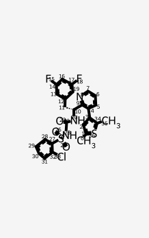 Cc1cc(-c2cccnc2[C@@H](Cc2cc(F)cc(F)c2)NC(=O)NS(=O)(=O)c2ccccc2Cl)c(C)s1